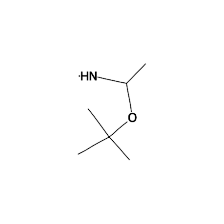 CC([NH])OC(C)(C)C